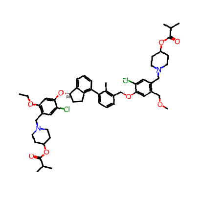 CCOc1cc(O[C@H]2CCc3c(-c4cccc(COc5cc(COC)c(CN6CCC(OC(=O)C(C)C)CC6)cc5Cl)c4C)cccc32)c(Cl)cc1CN1CCC(OC(=O)C(C)C)CC1